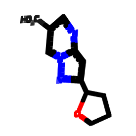 O=C(O)c1cnc2cc(C3CCCO3)nn2c1